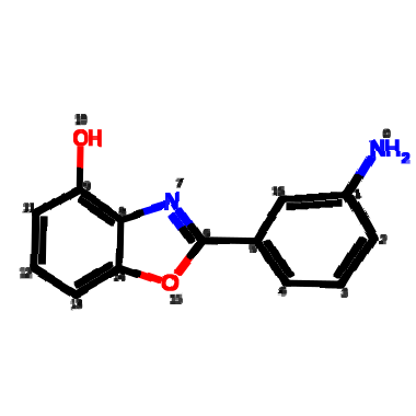 Nc1cccc(-c2nc3c(O)cccc3o2)c1